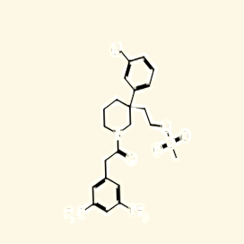 CS(=O)(=O)OCC[C@]1(c2cccc(Cl)c2)CCCN(C(=O)Cc2cc(C(F)(F)F)cc(C(F)(F)F)c2)C1